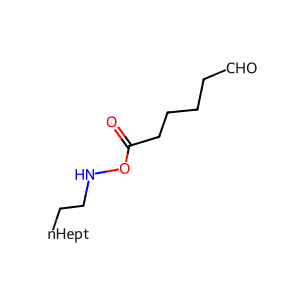 CCCCCCCCCNOC(=O)CCCCC=O